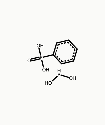 O=P(O)(O)c1ccccc1.OBO